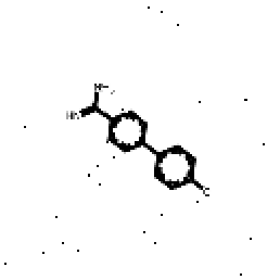 N=C(N)c1ccc(-c2ccc([O])cc2)cc1